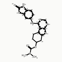 CN(C)C(=O)OC1CCc2c(sc3ncnc(Nc4ccc5[nH]c(=O)sc5c4)c23)C1